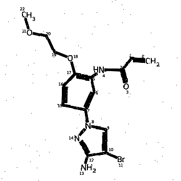 C=CC(=O)Nc1cc(-n2cc(Br)c(N)n2)ccc1OCCOC